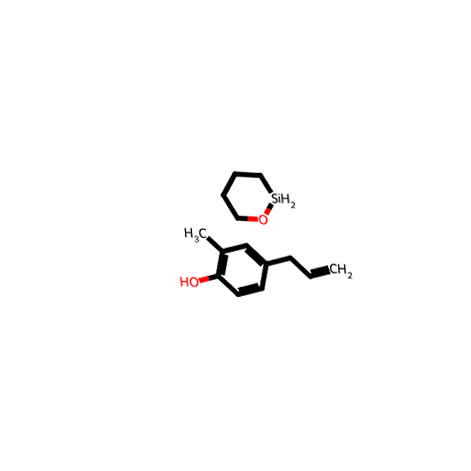 C1CC[SiH2]OC1.C=CCc1ccc(O)c(C)c1